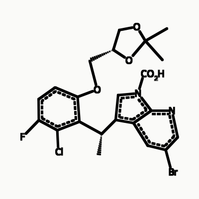 C[C@H](c1c(OC[C@@H]2COC(C)(C)O2)ccc(F)c1Cl)c1cn(C(=O)O)c2ncc(Br)cc12